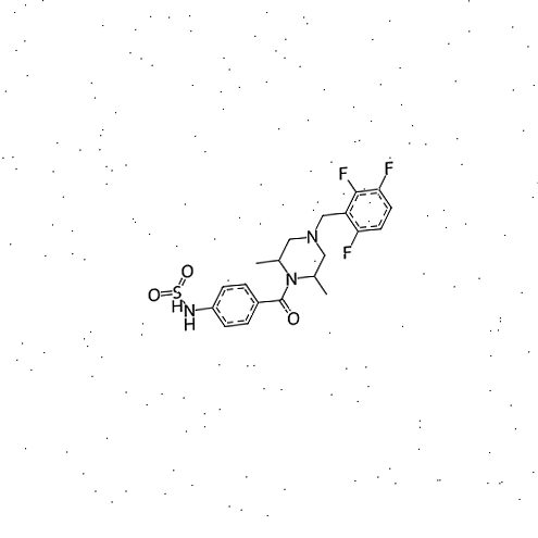 CC1CN(Cc2c(F)ccc(F)c2F)CC(C)N1C(=O)c1ccc(N[SH](=O)=O)cc1